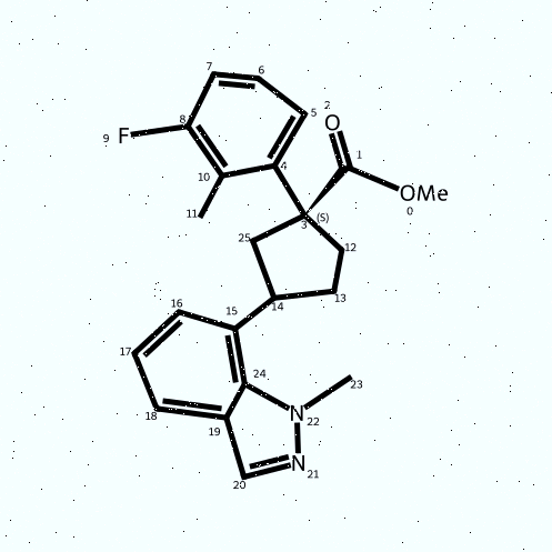 COC(=O)[C@@]1(c2cccc(F)c2C)CCC(c2cccc3cnn(C)c23)C1